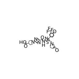 COC[C@@H]1CCCN(Cc2sc(NC(=O)c3cnc(N4CCC(C(=O)O)CC4)cn3)nc2-c2ccc(OC)c(C(F)(F)F)c2)C1